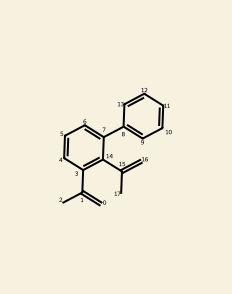 C=C(C)c1cccc(-c2ccccc2)c1C(=C)C